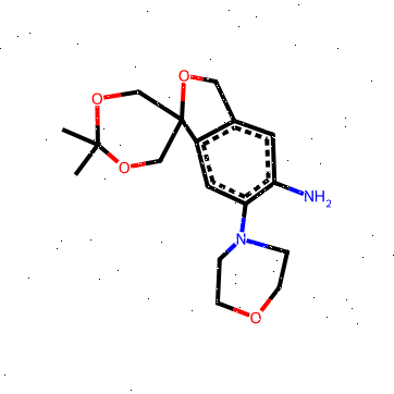 CC1(C)OCC2(CO1)OCc1cc(N)c(N3CCOCC3)cc12